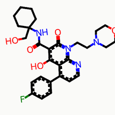 O=C(NC1(CO)CCCCC1)c1c(O)c2c(-c3ccc(F)cc3)ccnc2n(CCN2CCOCC2)c1=O